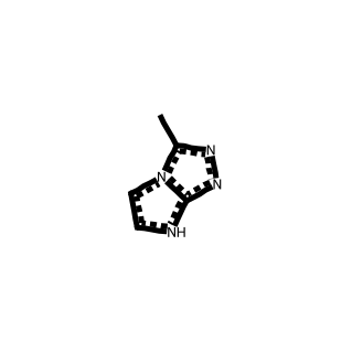 Cc1nnc2[nH]ccn12